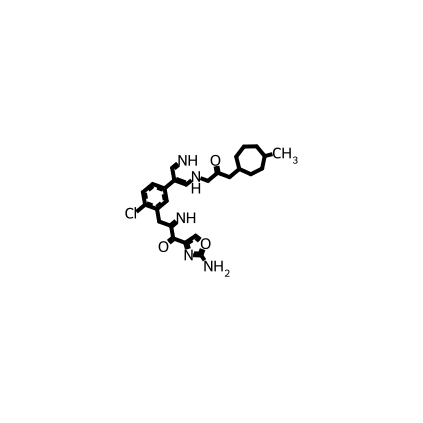 CC1CCCC(CC(=O)CN/C=C(\C=N)c2ccc(Cl)c(CC(=N)C(=O)c3coc(N)n3)c2)CC1